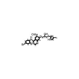 COc1cc2c(Nc3ccc(Br)cc3F)ncnc2cc1OCC(O)CSc1nc(C)c[nH]1